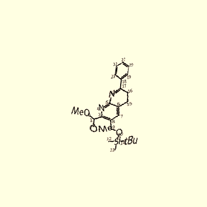 COC(OC)c1nc2c(cc1CO[Si](C)(C)C(C)(C)C)CCC(c1ccccc1)=N2